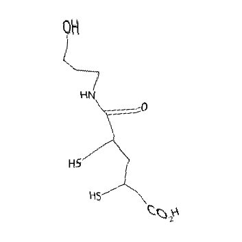 O=C(O)C(S)CC(S)C(=O)NCCO